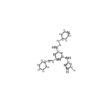 Cc1cc(Nc2cc(NCCc3ccncc3)nc(/C=C/c3ccccc3)n2)n[nH]1